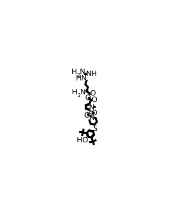 Cn1c(C(=O)OC(=O)[C@@H](N)CCCNC(=N)N)ccc1S(=O)(=O)N1CCC(Sc2cc(C(C)(C)C)c(O)c(C(C)(C)C)c2)CC1